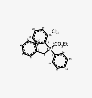 CCOC(=O)[P+](Cc1ccccc1)(c1ccccc1)c1ccccc1.[Cl-]